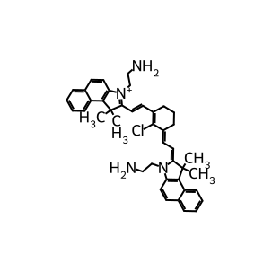 CC1(C)C(/C=C/C2=C(Cl)C(=C/C=C3\N(CCN)c4ccc5ccccc5c4C3(C)C)/CCC2)=[N+](CCN)c2ccc3ccccc3c21